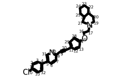 Clc1ccc(-c2ccc(C#Cc3ccc(OCCN4CCC5CCCCC5C4)cc3)nc2)cc1